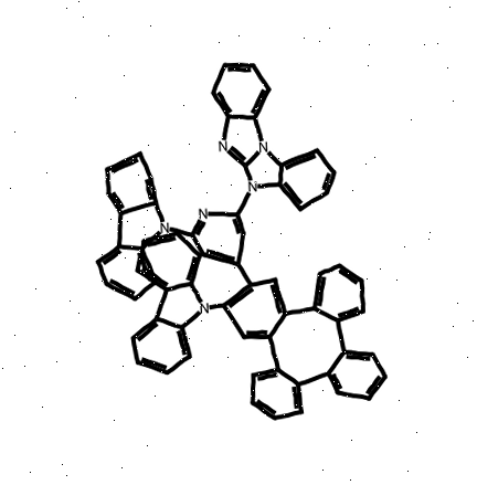 c1ccc2c(c1)-c1ccccc1-c1cc(-c3cc(-n4c5ccccc5c5ccccc54)nc(-n4c5ccccc5n5c6ccccc6nc45)c3)c(-n3c4ccccc4c4ccccc43)cc1-c1ccccc1-2